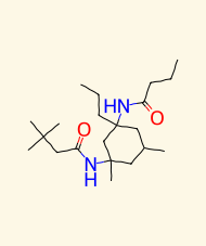 CCCC(=O)NC1(CCC)CC(C)CC(C)(NC(=O)CC(C)(C)C)C1